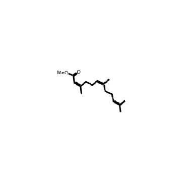 COC(=O)C=C(C)CCC=C(C)CCC=C(C)C